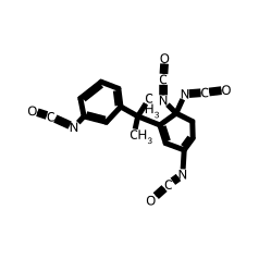 CC(C)(C1=CC(N=C=O)=CCC1(N=C=O)N=C=O)c1cccc(N=C=O)c1